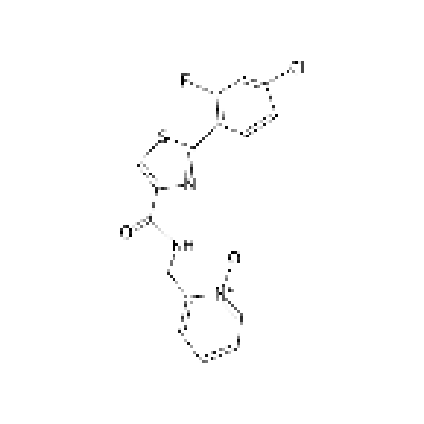 O=C(NCc1cccc[n+]1[O-])c1csc(-c2ccc(Cl)cc2F)n1